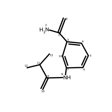 C=C(N)c1cccc(NC(=C)C(C)C)c1